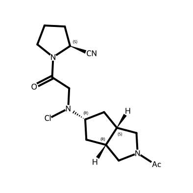 CC(=O)N1C[C@H]2C[C@@H](N(Cl)CC(=O)N3CCC[C@H]3C#N)C[C@H]2C1